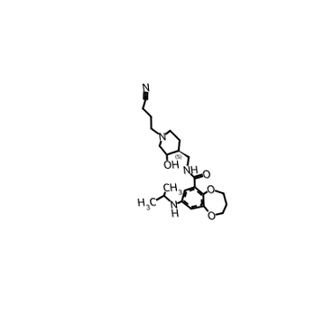 CC(C)Nc1cc2c(c(C(=O)NC[C@@H]3CCN(CCCC#N)CC3O)c1)OCCCO2